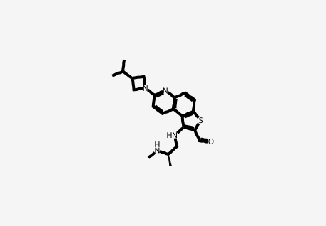 CN[C@H](C)CNc1c(C=O)sc2ccc3nc(N4CC(C(C)C)C4)ccc3c12